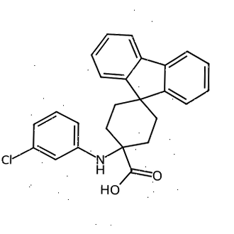 O=C(O)C1(Nc2cccc(Cl)c2)CCC2(CC1)c1ccccc1-c1ccccc12